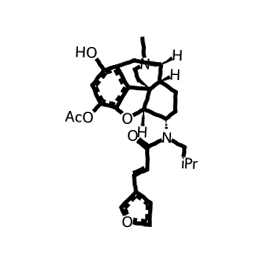 CC(=O)Oc1cc(O)c2c3c1O[C@H]1[C@@H](N(CC(C)C)C(=O)/C=C/c4ccoc4)CC[C@H]4[C@@H](C2)N(C)CC[C@@]341